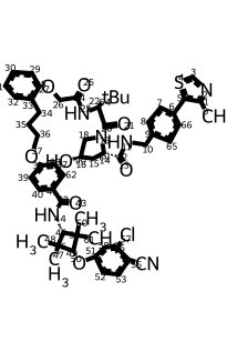 Cc1ncsc1-c1ccc(CNC(=O)[C@@H]2C[C@@H](O)CN2C(=O)C(NC(=O)COc2ccccc2CCCOc2ccc(C(=O)N[C@H]3C(C)(C)[C@H](Oc4ccc(C#N)c(Cl)c4)C3(C)C)cc2)C(C)(C)C)cc1